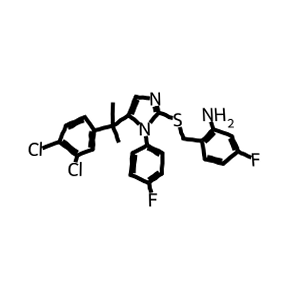 CC(C)(c1ccc(Cl)c(Cl)c1)c1cnc(SCc2ccc(F)cc2N)n1-c1ccc(F)cc1